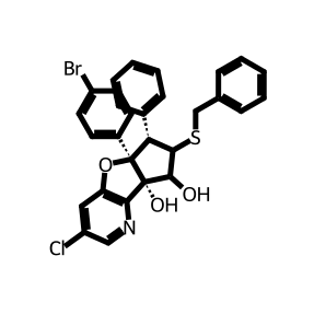 OC1C(SCc2ccccc2)[C@@H](c2ccccc2)[C@]2(c3ccc(Br)cc3)Oc3cc(Cl)cnc3[C@]12O